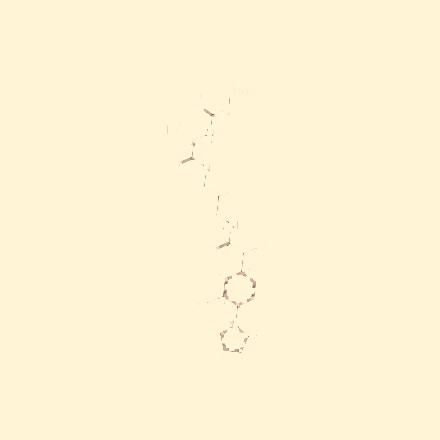 CC(C(=O)NCC(O)CNC(=O)[C@H](C)NC(=O)OC(C)(C)C)c1ccc(-n2cccc2)c(Cl)c1